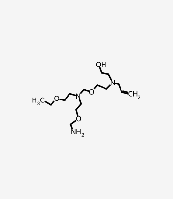 C=CCN(CCO)CCOCN(CCOCC)CCOCN